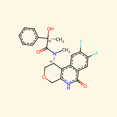 CN(C(=O)[C@](C)(O)c1ccccc1)[C@H]1COCc2[nH]c(=O)c3cc(F)c(F)cc3c21